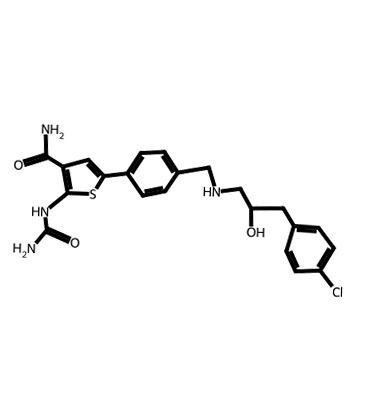 NC(=O)Nc1sc(-c2ccc(CNCC(O)Cc3ccc(Cl)cc3)cc2)cc1C(N)=O